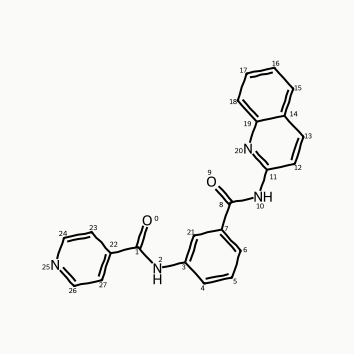 O=C(Nc1cccc(C(=O)Nc2ccc3ccccc3n2)c1)c1ccncc1